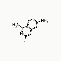 Cc1cc2cc(N)ccc2c(N)n1